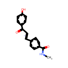 CNC(=O)c1ccc(/C=C/C(=O)c2ccc(O)cc2)cc1